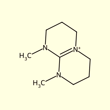 CN1CCC[N+]2=C1N(C)CCC2